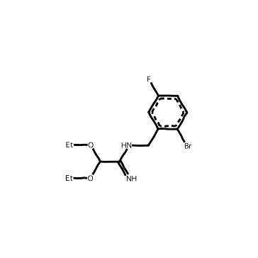 CCOC(OCC)C(=N)NCc1cc(F)ccc1Br